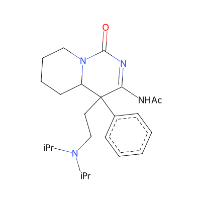 CC(=O)NC1=NC(=O)N2CCCCC2C1(CCN(C(C)C)C(C)C)c1ccccc1